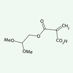 C=C(C(=O)O)C(=O)OCC(OC)OC